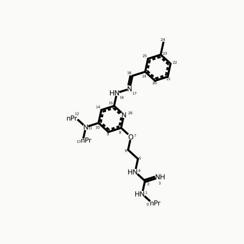 CCCNC(=N)NCCOc1cc(N(CCC)CCC)cc(N/N=C/c2cccc(C)c2)n1